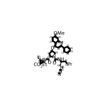 CCOC(=O)[C@@]1(NC(=O)[C@@H]2C[C@@H](Oc3cc(-c4ccccc4)nc4cc(OC)ccc34)CN2C(=O)N[C@H](CN=[N+]=[N-])CC(C)C)C[C@H]1I